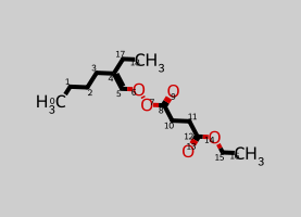 CCCCC(=COOC(=O)CCC(=O)OCC)CC